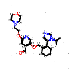 CC(C)n1cncc1C1=C(COc2cnc(OCCN3CCOCC3)cc2C=O)CCCC1